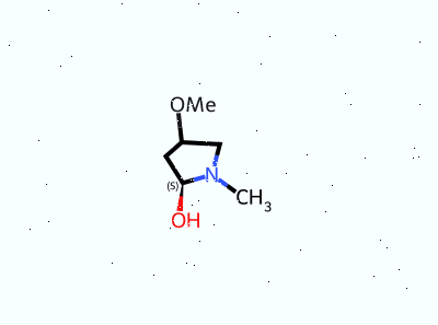 COC1C[C@H](O)N(C)C1